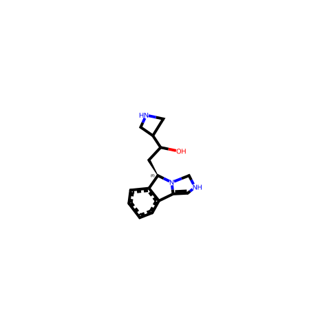 OC(C[C@@H]1c2ccccc2C2=CNCN21)C1CNC1